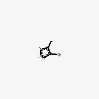 Cc1sncc1C#N